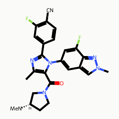 CN[C@H]1CCN(C(=O)c2c(C)nc(-c3ccc(C#N)c(F)c3)n2-c2cc(F)c3nn(C)cc3c2)C1